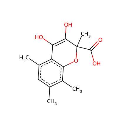 Cc1cc(C)c2c(c1C)OC(C)(C(=O)O)C(O)=C2O